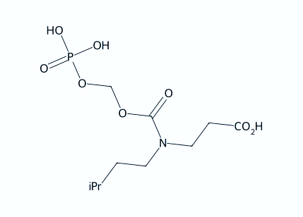 CC(C)CCN(CCC(=O)O)C(=O)OCOP(=O)(O)O